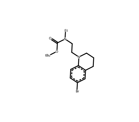 CCN(CCN1CCCc2cc(Br)ccc21)C(=O)OC(C)(C)C